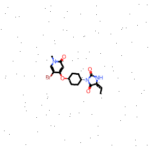 CC=C1NC(=O)N([C@H]2CC[C@H](Oc3cc(=O)n(C)cc3Br)CC2)C1=O